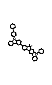 CC1(C)c2cc(-c3ccc4c(c3)c3ccccc3n4-c3ccc(-c4ccccc4)cc3)ccc2-c2cc3c4ccccc4n(-c4ccccc4)c3cc21